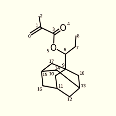 C=C(C)C(=O)OC(CC)C12CC3CC(CC(C3)C1)C2